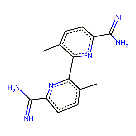 Cc1ccc(C(=N)N)nc1-c1nc(C(=N)N)ccc1C